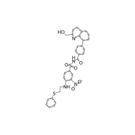 O=C(NS(=O)(=O)c1ccc(NCCSc2ccccc2)c([N+](=O)[O-])c1)c1ccc(-c2cccc3ccc(CO)nc23)cc1